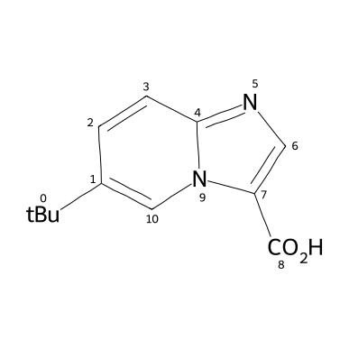 CC(C)(C)c1ccc2ncc(C(=O)O)n2c1